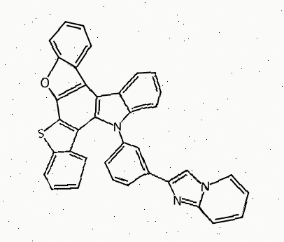 c1cc(-c2cn3ccccc3n2)cc(-n2c3ccccc3c3c4c5ccccc5oc4c4sc5ccccc5c4c32)c1